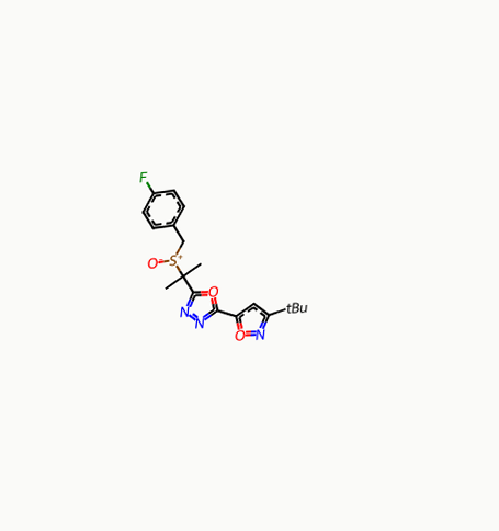 CC(C)(C)c1cc(-c2nnc(C(C)(C)[S+]([O-])Cc3ccc(F)cc3)o2)on1